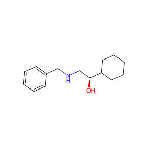 O[C@@H](CNCc1ccccc1)C1CCCCC1